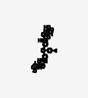 COC(=O)NC(C(=O)N1CCC[C@H]1c1nc2ccc(C3CC=C(c4ccc5nc(C6CCCN6C(=O)[C@@H](NC(=O)O)C(C)C)[nH]c5c4)C3c3ccc(C4CC4)cc3)cc2[nH]1)C(C)C